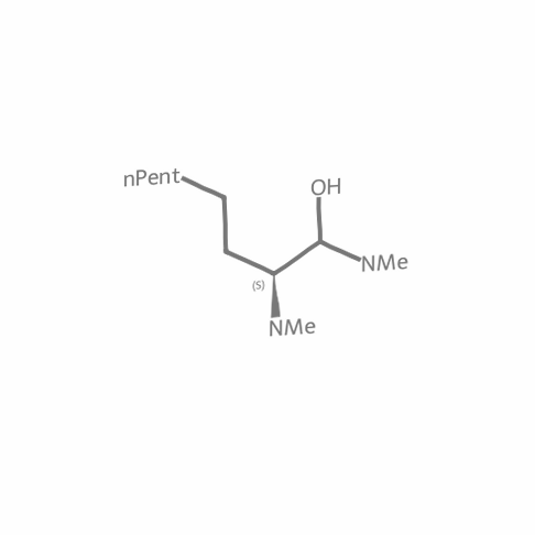 CCCCCCC[C@H](NC)C(O)NC